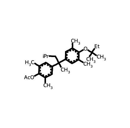 CCC(C)(C)Oc1c(C)cc(C(C)(CC(C)C)c2cc(C)c(OC(C)=O)c(C)c2)cc1C